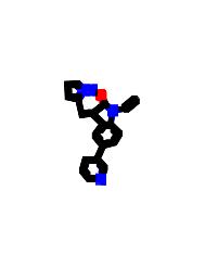 C#CN1C(=O)C(=Cc2ccc[nH]2)c2cc(-c3cccnc3)ccc21